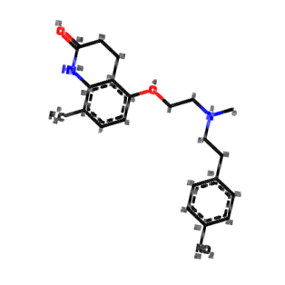 CN(CCOc1ccc(C(F)(F)F)c2c1CCC(=O)N2)CCc1ccc([N+](=O)[O-])cc1